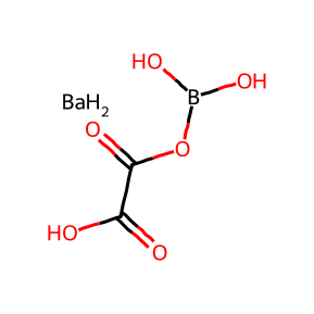 O=C(O)C(=O)OB(O)O.[BaH2]